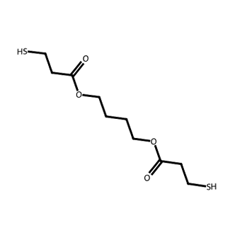 O=C(CCS)OCCCCOC(=O)CCS